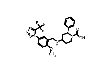 COc1ccc(-n2nnnc2C(F)(F)F)cc1CNC1CCN(C(=O)O)[C@H](c2ccccc2)C1